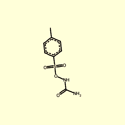 Cc1ccc(S(=O)(=O)ONC(N)=O)cc1